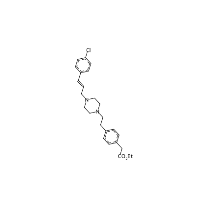 CCOC(=O)Cc1ccc(CCN2CCN(CC=Cc3ccc(Cl)cc3)CC2)cc1